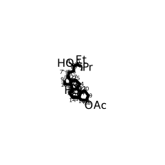 CC[C@@H](C(C)C)[C@H](O)C[C@@H](C)[C@H]1CC[C@H]2[C@@H]3CC=C4C[C@@H](OC(C)=O)CC[C@]4(C)[C@H]3CC[C@]12C